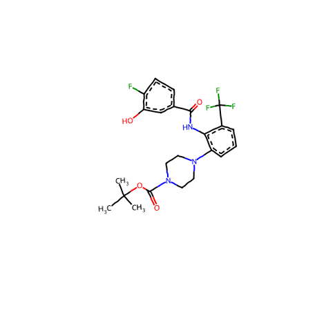 CC(C)(C)OC(=O)N1CCN(c2cccc(C(F)(F)F)c2NC(=O)c2ccc(F)c(O)c2)CC1